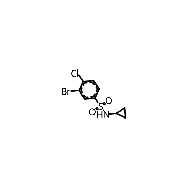 O=S(=O)(NC1CC1)c1ccc(Cl)c(Br)c1